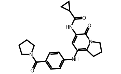 O=C(Nc1cc(Nc2ccc(C(=O)N3CCCC3)cc2)c2n(c1=O)CCC2)C1CC1